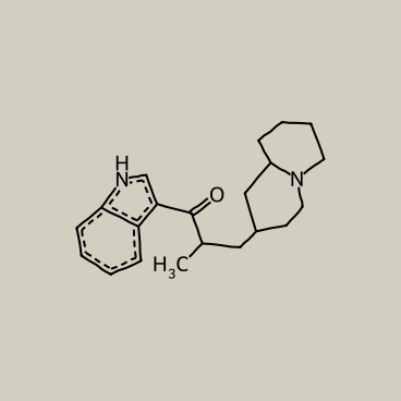 CC(CC1CCN2CCCCC2C1)C(=O)c1c[nH]c2ccccc12